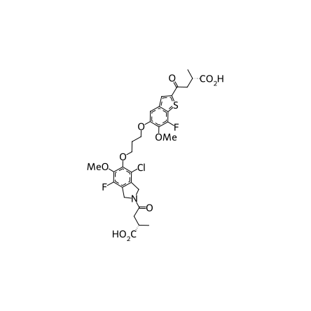 COc1c(F)c2c(c(Cl)c1OCCCOc1cc3cc(C(=O)C[C@H](C)C(=O)O)sc3c(F)c1OC)CN(C(=O)C[C@H](C)C(=O)O)C2